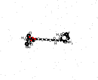 CCOc1cc(C(C)(C)C)ccc1C1=N[C@@](C)(c2ccc(Cl)cc2)[C@@](C)(c2ccc(Cl)cc2)N1C(=O)N1CCN(CCOCCOCCOCCOCCC(=O)NCCn2cc3c(n2)CN(C)C(=O)c2ccc(F)cc2[C@H]2CCCN2c2cc-3cnc2N)CC1